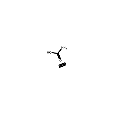 C#C.NC(=O)O